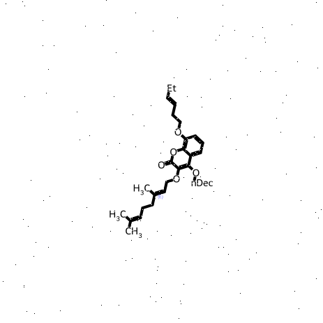 CCC=CCCOc1cccc2c(OCCCCCCCCCC)c(OC/C=C(\C)CCC=C(C)C)c(=O)oc12